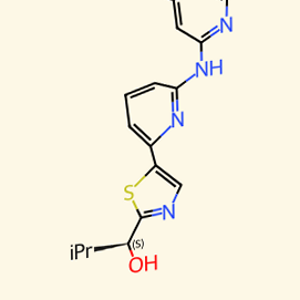 Cc1ccnc(Nc2cccc(-c3cnc([C@@H](O)C(C)C)s3)n2)c1